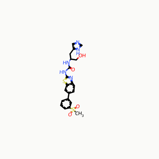 CS(=O)(=O)c1cccc(-c2ccc3nc(NC(=O)NC(CO)Cc4cnc[nH]4)sc3c2)c1